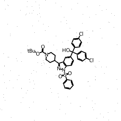 CC(C)(C)OC(=O)N1CCC(c2nn(S(=O)(=O)c3ccccc3)c3ccc(C(O)(c4ccc(Cl)cc4)c4ccc(Cl)cc4)cc23)CC1